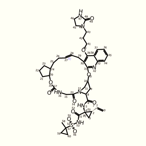 C=C[C@@H]1C[C@]1(NC(=O)C1CC2CN1C(=O)CNC(=O)OC1CCCC1CC/C=C/Cc1c(nc3ccccc3c1OCCCN1CCNC1=O)O2)C(=O)NS(=O)(=O)C1(C)CC1